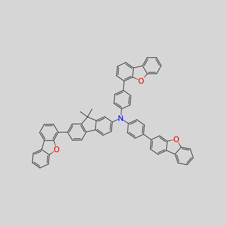 CC1(C)c2cc(-c3cccc4c3oc3ccccc34)ccc2-c2ccc(N(c3ccc(-c4ccc5c(c4)oc4ccccc45)cc3)c3ccc(-c4cccc5c4oc4ccccc45)cc3)cc21